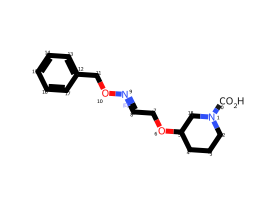 O=C(O)N1CCCC(OC/C=N/OCc2ccccc2)C1